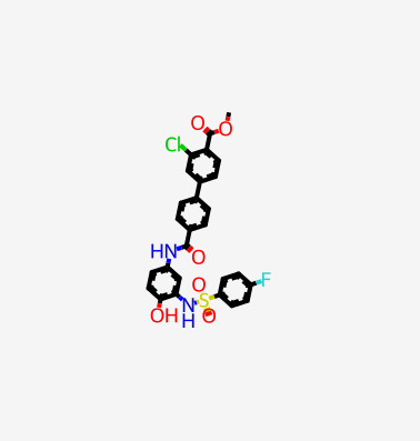 COC(=O)c1ccc(-c2ccc(C(=O)Nc3ccc(O)c(NS(=O)(=O)c4ccc(F)cc4)c3)cc2)cc1Cl